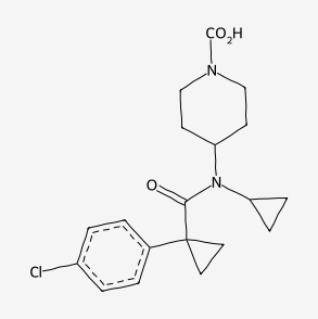 O=C(O)N1CCC(N(C(=O)C2(c3ccc(Cl)cc3)CC2)C2CC2)CC1